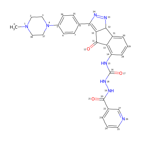 CN1CCN(c2ccc(C3=C4C(=O)c5c(NC(=O)NNC(=O)c6cccnc6)cccc5C4N=N3)cc2)CC1